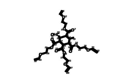 C=COCCOC(=O)C1C(C)C(C(=O)OCCOC=C)C(C(=O)OCCOC=C)C(C(=O)OCCOC=C)C1C=O